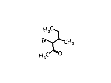 CCC(C)C(Br)C(C)=O